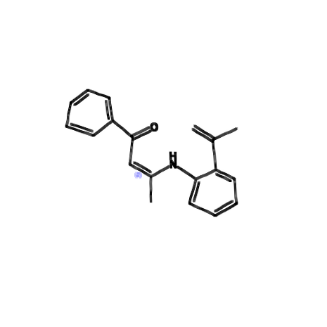 C=C(C)c1ccccc1N/C(C)=C\C(=O)c1ccccc1